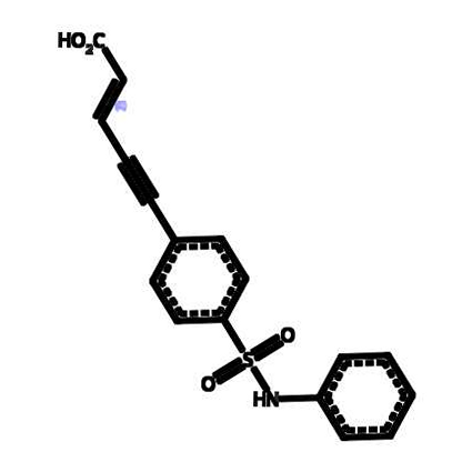 O=C(O)/C=C/C#Cc1ccc(S(=O)(=O)Nc2ccccc2)cc1